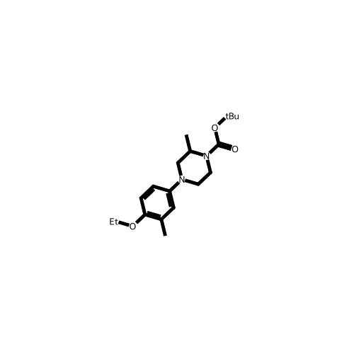 CCOc1ccc(N2CCN(C(=O)OC(C)(C)C)C(C)C2)cc1C